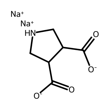 O=C([O-])C1CNCC1C(=O)[O-].[Na+].[Na+]